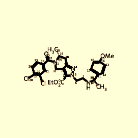 CCOC(=O)c1c2c(nn1CCN[C@H](C)c1ccc(OC)cc1)C[C@@H](C)N(C(=O)c1ccc(Cl)c(Cl)c1)C2